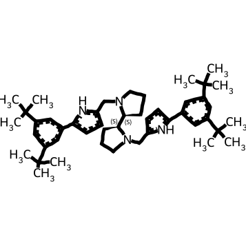 CC(C)(C)c1cc(-c2ccc(CN3CCC[C@H]3[C@@H]3CCCN3Cc3ccc(-c4cc(C(C)(C)C)cc(C(C)(C)C)c4)[nH]3)[nH]2)cc(C(C)(C)C)c1